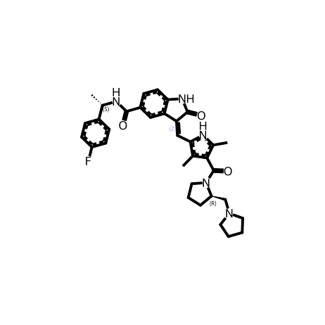 Cc1[nH]c(/C=C2\C(=O)Nc3ccc(C(=O)N[C@@H](C)c4ccc(F)cc4)cc32)c(C)c1C(=O)N1CCC[C@@H]1CN1CCCC1